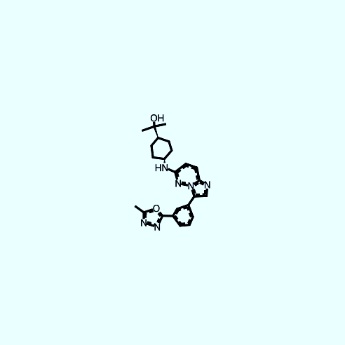 Cc1nnc(-c2cccc(-c3cnc4ccc(N[C@H]5CC[C@H](C(C)(C)O)CC5)nn34)c2)o1